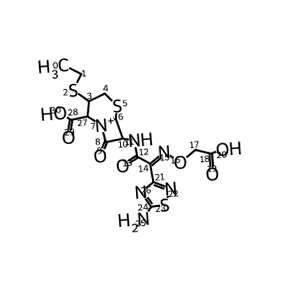 CCSC1CSC2=[N+](C(=O)C2NC(=O)C(=NOCC(=O)O)c2nsc(N)n2)C1C(=O)O